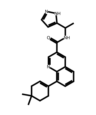 CC(NC(=O)c1cnc2c(C3=CCC(C)(C)CC3)cccc2c1)c1ccn[nH]1